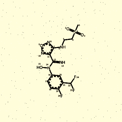 CS(=O)(=O)CCNc1nonc1C(=N)N(O)c1ccc(F)c(C(F)F)c1